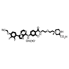 C[N+]1(CCOCCNC(=O)c2ccc(Nc3nccn4c(-c5ccc(OCC#N)c(F)c5F)cnc34)cc2Cl)CCNC(C(=O)O)C1.O=C[O-]